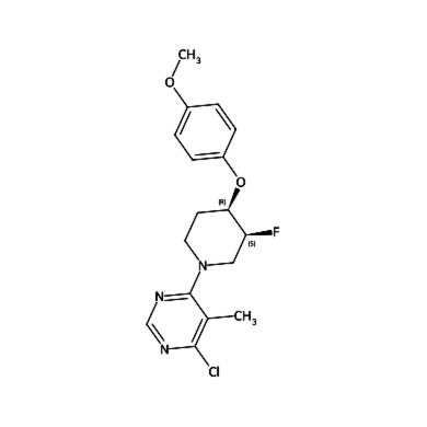 COc1ccc(O[C@@H]2CCN(c3ncnc(Cl)c3C)C[C@@H]2F)cc1